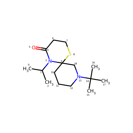 CC(C)N1C(=O)CCSC12CCCN(C(C)(C)C)C2